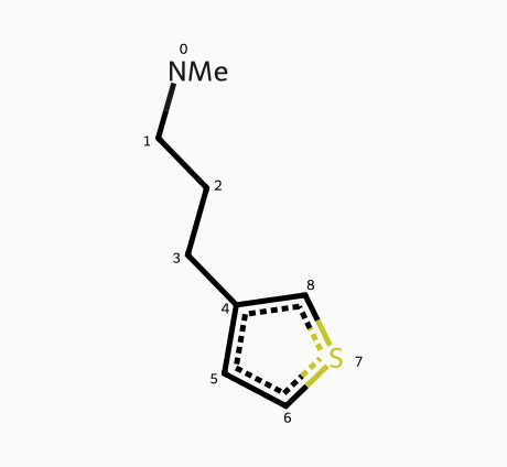 CNCCCc1ccsc1